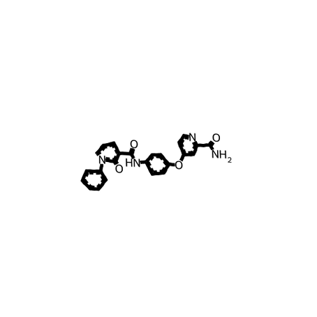 NC(=O)c1cc(Oc2ccc(NC(=O)c3cccn(-c4ccccc4)c3=O)cc2)ccn1